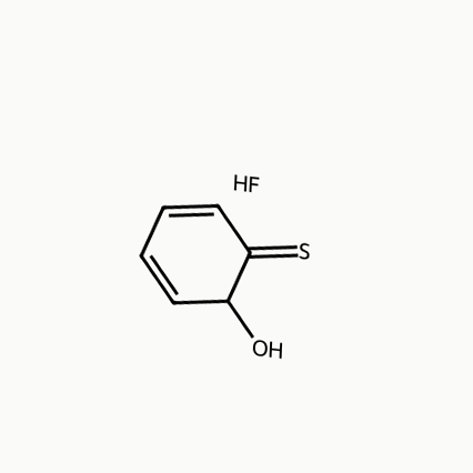 F.OC1C=CC=CC1=S